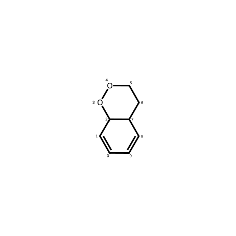 C1=C[C]2OOCCC2C=C1